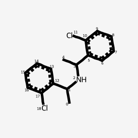 CC(NC(C)c1ccccc1Cl)c1ccccc1Cl